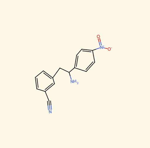 N#Cc1cccc(CC(N)c2ccc([N+](=O)[O-])cc2)c1